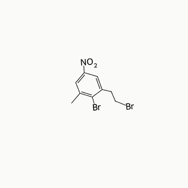 Cc1cc([N+](=O)[O-])cc(CCBr)c1Br